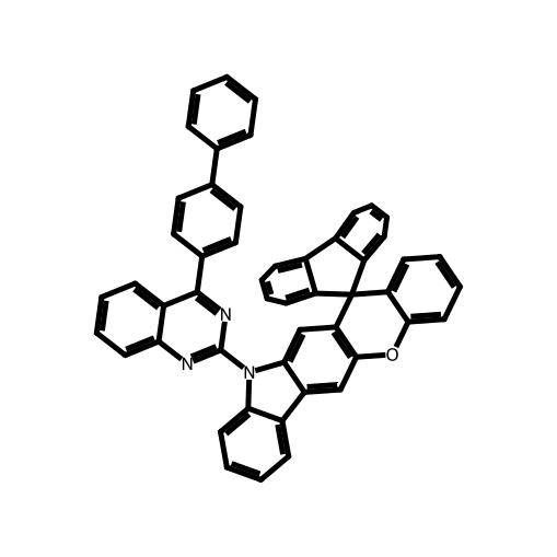 c1ccc(-c2ccc(-c3nc(-n4c5ccccc5c5cc6c(cc54)C4(c5ccccc5O6)c5ccccc5-c5ccccc54)nc4ccccc34)cc2)cc1